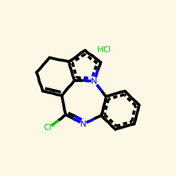 Cl.ClC1=Nc2ccccc2-n2ccc3c2C1=CCC3